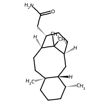 C[C@@H]1CCC[C@@]2(C)CC[C@H]3[C@H](CC(N)=O)CC[C@@H](C[C@H]12)C3(C)C